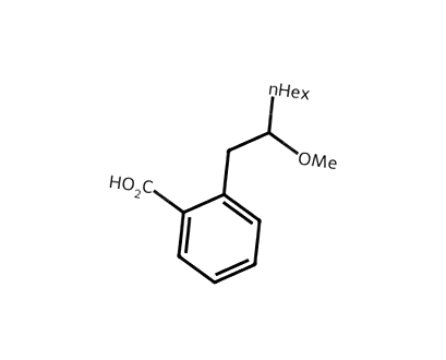 CCCCCCC(Cc1ccccc1C(=O)O)OC